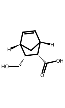 O=C(O)[C@@H]1[C@H](CO)[C@@H]2C=C[C@H]1C2